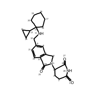 O=C1CCC(N2Cc3cc(CNC4(C5CC5)CCCCC4)ccc3C2=O)C(=O)N1